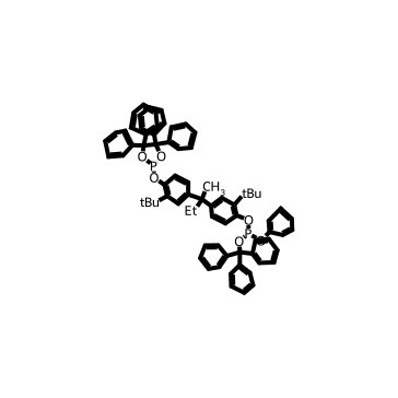 CCC(C)(c1ccc(OP(Oc2ccccc2)OC(c2ccccc2)(c2ccccc2)c2ccccc2)c(C(C)(C)C)c1)c1ccc(OP2OC(c3ccccc3)(c3ccccc3)C(c3ccccc3)(c3ccccc3)O2)c(C(C)(C)C)c1